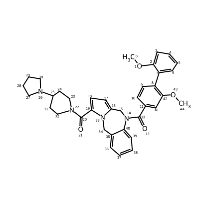 COc1ccccc1-c1ccc(C(=O)N2Cc3ccc(C(=O)N4CCC(N5CCCC5)CC4)n3Cc3ccccc32)cc1OC